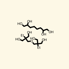 CCC(CO)(CO)COCC(CC)(CO)CO.OCC(O)CCCCC(O)CO